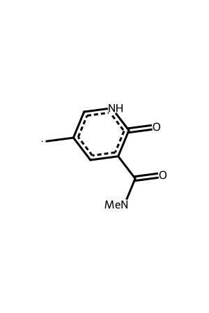 [CH2]c1c[nH]c(=O)c(C(=O)NC)c1